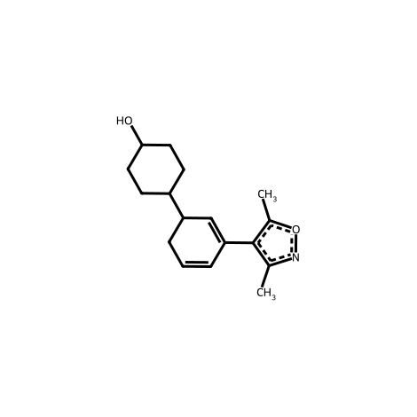 Cc1noc(C)c1C1=CC(C2CCC(O)CC2)CC=C1